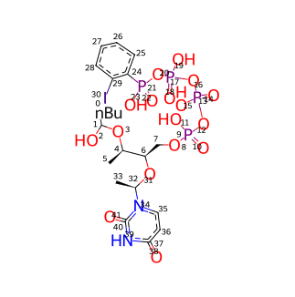 CCCCC(O)O[C@H](C)[C@@H](COP(=O)(O)OP(=O)(O)OP(=O)(O)OP(=O)(O)c1ccccc1I)O[C@H](C)n1ccc(=O)[nH]c1=O